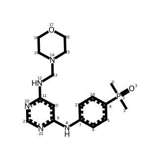 CP(C)(=O)c1ccc(Nc2cc(NCN3CCOCC3)ncn2)cc1